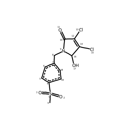 CS(=O)(=O)c1ccc(CN2C(=O)C(Cl)=C(Cl)C2O)cc1